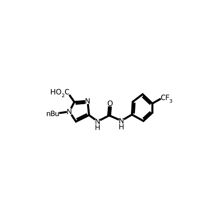 CCCCn1cc(NC(=O)Nc2ccc(C(F)(F)F)cc2)nc1C(=O)O